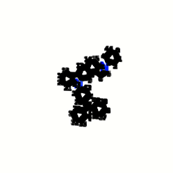 c1ccc(-n2ccc3c4cc5c(cc4ccc32)c2ccccc2n5-c2ccc([SiH](c3ccccc3)c3ccccc3)cc2)cc1